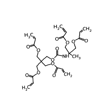 C=CC(=O)OCC(COC(=O)C=C)(COC(=O)C=C)COC(=O)NC(C)(COC(=O)C=C)COC(=O)C=C